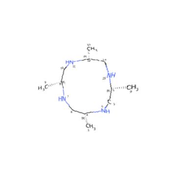 C[C@@H]1CN[C@H](C)CN[C@H](C)CN[C@H](C)CN1